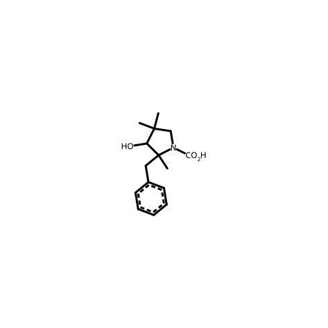 CC1(C)CN(C(=O)O)C(C)(Cc2ccccc2)C1O